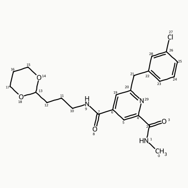 CNC(=O)c1cc(C(=O)NCCCC2OCCCO2)cc(Cc2cccc(Cl)c2)n1